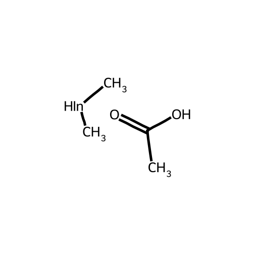 CC(=O)O.[CH3][InH][CH3]